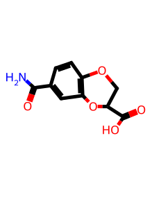 NC(=O)c1ccc2c(c1)OC(C(=O)O)CO2